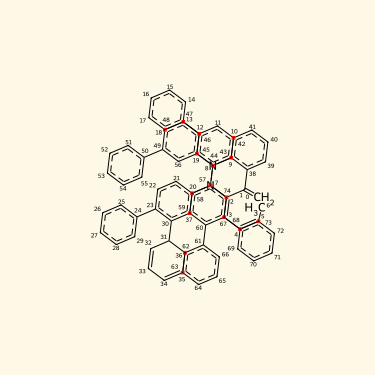 C=C(/C(=C\C=C/C)N(c1cccc(-c2ccccc2)c1)c1ccc(-c2ccccc2)c(C2C=CC=CC2)c1)c1ccccc1N(c1cccc(-c2ccccc2)c1)c1ccc(-c2ccccc2)c(-c2ccccc2)c1